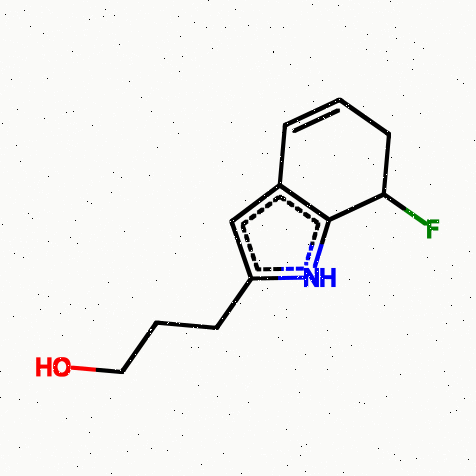 OCCCc1cc2c([nH]1)C(F)CC=C2